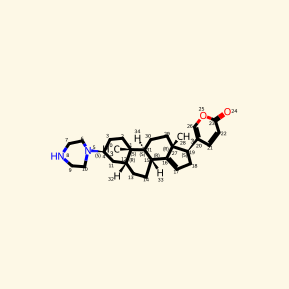 C[C@]12CC[C@H](N3CCNCC3)C[C@H]1CC[C@H]1C3=CC[C@H](c4ccc(=O)oc4)[C@@]3(C)CC[C@@H]12